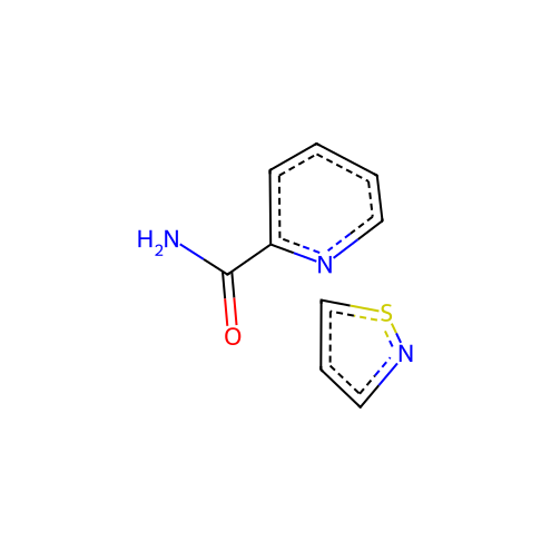 NC(=O)c1ccccn1.c1cnsc1